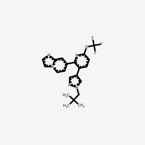 CC(C)(C)Cn1cc(-c2ccc(OC(F)(F)F)nc2-c2ccn3ccnc3c2)cn1